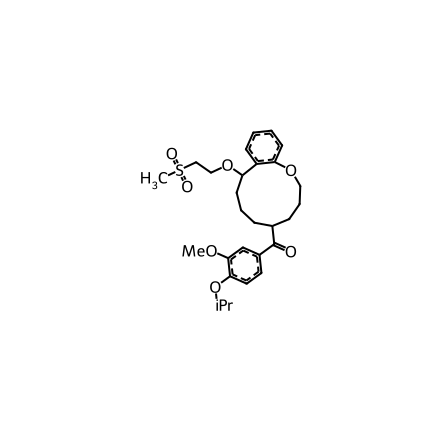 COc1cc(C(=O)C2CCCOc3ccccc3C(OCCS(C)(=O)=O)CCC2)ccc1OC(C)C